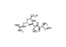 N=C(N)NCCC[C@H](NC(=O)[C@H](CO)NC(=O)[C@@H](N)CO)C(=O)O